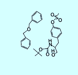 CC(C)(C)OC(=O)NC(CO)Cc1ccc(OS(C)(=O)=O)cc1.c1ccc(COCc2ccccc2)cc1